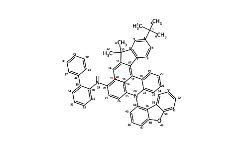 CC(C)(C)c1ccc2c(c1)C(C)(C)C1=CCCC(c3ccccc3N(c3ccc(Nc4ccccc4-c4ccccc4)cc3)c3cccc4oc5ccccc5c34)=C12